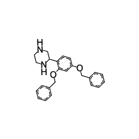 c1ccc(COc2ccc(C3CNCCN3)c(OCc3ccccc3)c2)cc1